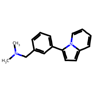 CN(C)Cc1cccc(-c2ccc3ccccn23)c1